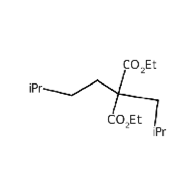 CCOC(=O)C(CCC(C)C)(CC(C)C)C(=O)OCC